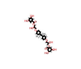 CC(C)(c1ccc(OCC(O)COC(=O)c2cc(O)cc(O)c2)cc1)c1ccc(OCC(O)COC2(C=O)CC(O)CC(O)C2)cc1